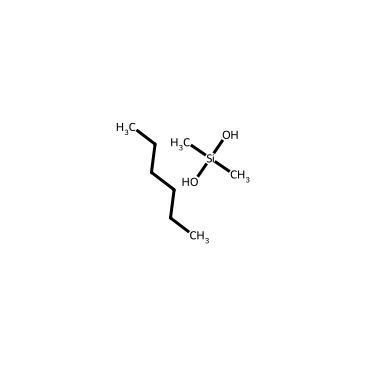 CCCCCC.C[Si](C)(O)O